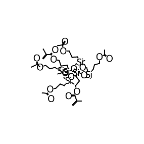 C=C(C)C(=O)OCCC[Si](O[Si](C)(C)CCCOC(C)=O)(O[Si](C)(C)CCCOC(C)=O)O[Si](CCCOC(=O)C(=C)C)(O[Si](C)(C)CCCOC(C)=O)O[Si](C)(C)CCCOC(C)=O